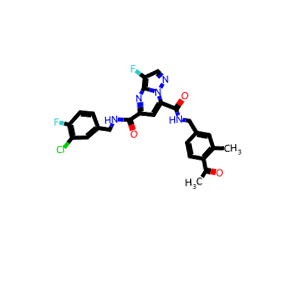 CC(=O)c1ccc(CNC(=O)c2cc(C(=O)NCc3ccc(F)c(Cl)c3)nc3c(F)cnn23)cc1C